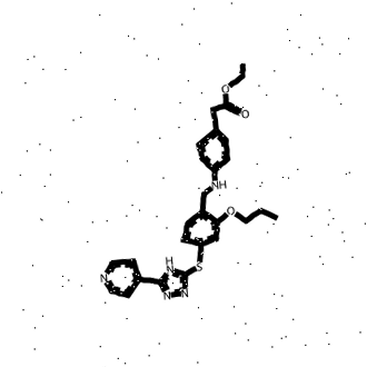 CCCOc1cc(Sc2nnc(-c3ccncc3)[nH]2)ccc1CNc1ccc(CC(=O)OCC)cc1